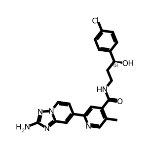 Cc1cnc(-c2ccn3nc(N)nc3c2)cc1C(=O)NCC[C@H](O)c1ccc(Cl)cc1